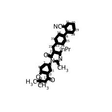 CCCc1nc(C)n(-c2ccc3c(c2)C(=O)CC(C)(C)O3)c(=O)c1Cc1ccc(-c2ccccc2C#N)cc1